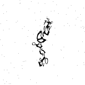 O=C(c1nccs1)N1CCN([C@@H]2CC(=O)N(c3ccc4c(c3)CCN4c3ccnc(C(F)(F)F)n3)C2)CC1